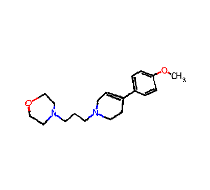 COc1ccc(C2=CCN(CCCN3CCOCC3)CC2)cc1